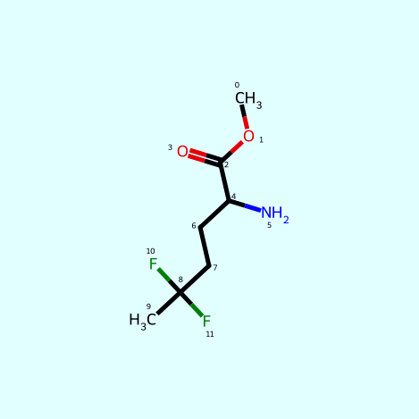 COC(=O)C(N)CCC(C)(F)F